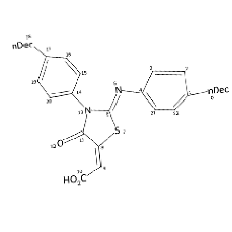 CCCCCCCCCCc1ccc(N=C2SC(=CC(=O)O)C(=O)N2c2ccc(CCCCCCCCCC)cc2)cc1